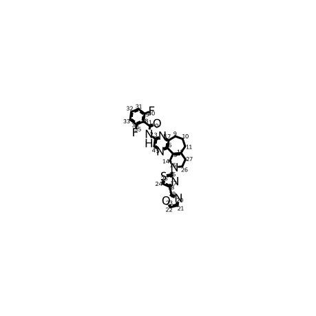 O=C(Nc1cnc2c(n1)CCCC1=C2CN(c2nc(-c3ncco3)cs2)CC1)c1c(F)cccc1F